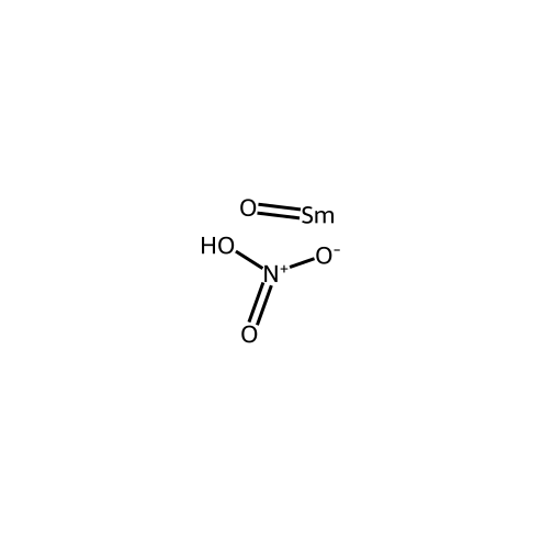 O=[N+]([O-])O.[O]=[Sm]